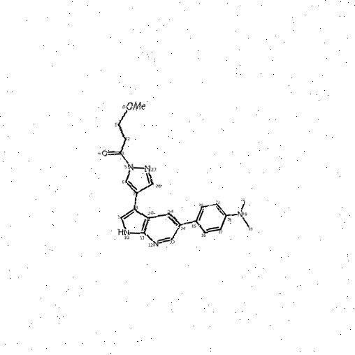 COCCC(=O)n1cc(-c2c[nH]c3ncc(-c4ccc(N(C)C)cc4)cc23)cn1